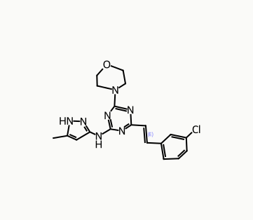 Cc1cc(Nc2nc(/C=C/c3cccc(Cl)c3)nc(N3CCOCC3)n2)n[nH]1